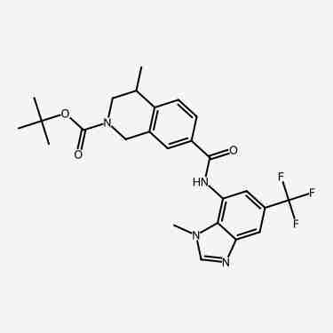 CC1CN(C(=O)OC(C)(C)C)Cc2cc(C(=O)Nc3cc(C(F)(F)F)cc4ncn(C)c34)ccc21